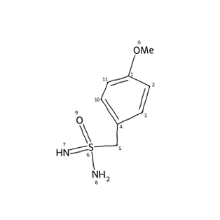 COc1ccc(CS(=N)(N)=O)cc1